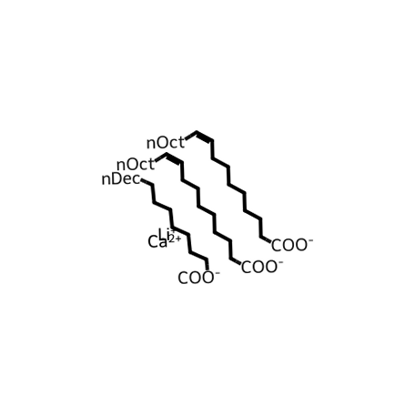 CCCCCCCC/C=C\CCCCCCCC(=O)[O-].CCCCCCCC/C=C\CCCCCCCC(=O)[O-].CCCCCCCCCCCCCCCCCC(=O)[O-].[Ca+2].[Li+]